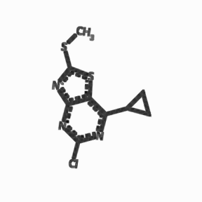 CSc1nc2nc(Cl)nc(C3CC3)c2s1